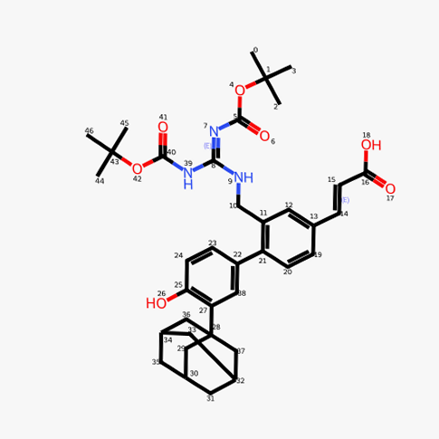 CC(C)(C)OC(=O)/N=C(\NCc1cc(/C=C/C(=O)O)ccc1-c1ccc(O)c(C23CC4CC(CC(C4)C2)C3)c1)NC(=O)OC(C)(C)C